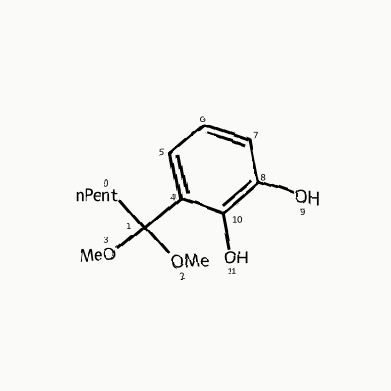 CCCCCC(OC)(OC)c1cccc(O)c1O